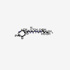 CC(=C\C=C\C(C)=C\[C@H](O)[C@@H](O)C[C@H](C)O)/C=C(C)/C=C/C(=O)O[C@H]1CCCC(=O)OC(C(C)C)C/C=C/C[C@@H]1C